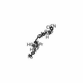 Cc1ncsc1-c1ccc([C@H](C)NC(=O)[C@@H]2C[C@@H](O)CN2C(=O)[C@H](c2ncc(CCCN3CCN(c4ccc(C(=O)NC5C(C)(C)C(Oc6ccc(C#N)c(Cl)c6)C5(C)C)cn4)CC3)n2C)C(C)C)cc1